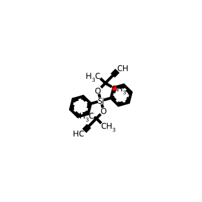 C#CC(C)(C)O[Si](OC(C)(C)C#C)(c1ccccc1)c1ccccc1